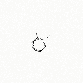 CC[n+]1ccccc1C(C)=O